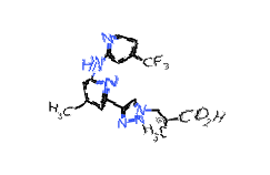 Cc1cc(Nc2cc(C(F)(F)F)ccn2)nc(-c2cn(C[C@H](C)C(=O)O)nn2)c1